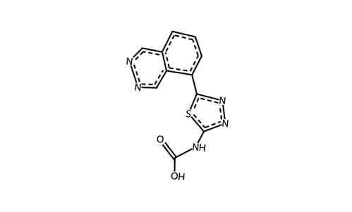 O=C(O)Nc1nnc(-c2cccc3cnncc23)s1